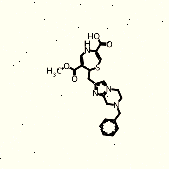 COC(=O)C1=CNC(C(=O)O)=CSC1Cc1cn2c(n1)CN(Cc1ccccc1)CC2